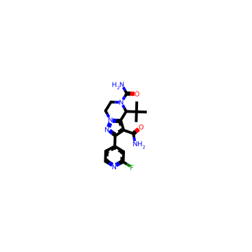 CC(C)(C)C1c2c(C(N)=O)c(-c3ccnc(F)c3)nn2CCN1C(N)=O